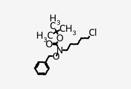 CC(C)(C)OC(=O)N(CCCCCCl)OCc1ccccc1